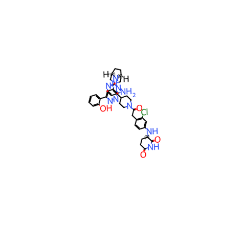 Nc1nnc(-c2ccccc2O)cc1N1C[C@H]2CC[C@@H](C1)N2c1nccc(C2CCN(C(=O)Cc3ccc(N[C@@H]4CCC(=O)NC4=O)cc3Cl)CC2)n1